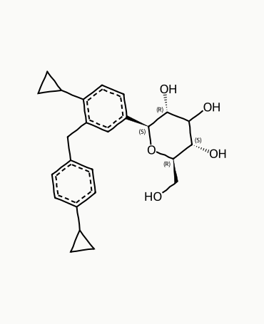 OC[C@H]1O[C@@H](c2ccc(C3CC3)c(Cc3ccc(C4CC4)cc3)c2)[C@H](O)C(O)[C@@H]1O